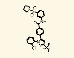 O=C(Nc1cccc(S(=O)(=O)N2CCCC2)c1)c1ccc(-c2cc(C(F)(F)F)nn2-c2ccccc2Cl)cc1